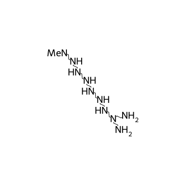 CNCCNCCNCCNCCNCCNCCNCCN(CCN)CCN